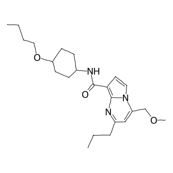 CCCCOC1CCC(NC(=O)c2ccn3c(COC)cc(CCC)nc23)CC1